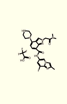 Cc1cn2cc(NC(=O)c3ccc(N4CCNCC4)c4cn(CC(=O)N(C)C)nc34)cc(F)c2n1.O=C(O)C(F)(F)F